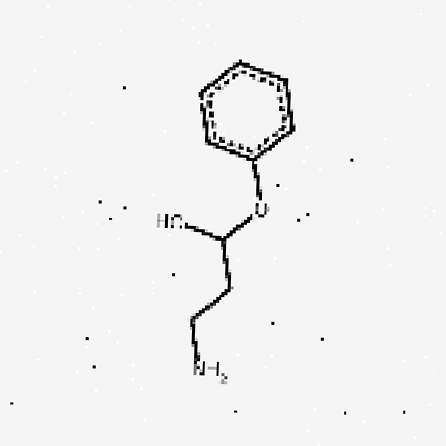 NCCC(O)Oc1ccccc1